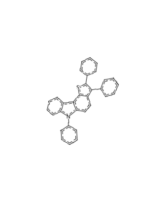 c1ccc(-c2sc3c(ccc4c3c3ccccc3n4-c3ccccc3)c2-c2ccccc2)cc1